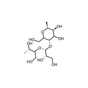 C[C@H](O)C(CO)O[C@H](O[C@@H]1C(CO)O[C@@H](C)[C@@H](O)C1O)[C@@H](O)CO